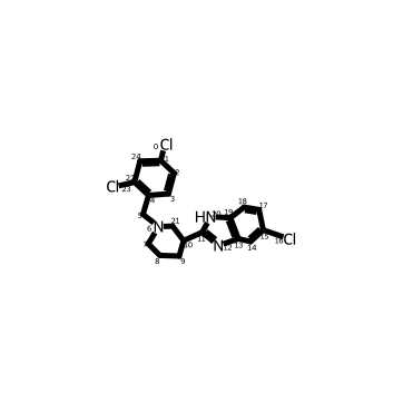 Clc1ccc(CN2CCCC(c3nc4cc(Cl)ccc4[nH]3)C2)c(Cl)c1